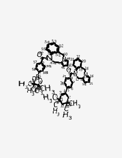 CC1(C)C=C(c2ccc(C(=O)N3Cc4cccn4Cc4ccccc43)cc2)CC(C)(C)C1.CC1(C)OB(c2ccc(C(=O)N3Cc4cccn4Cc4ccccc43)cc2)OC1(C)C